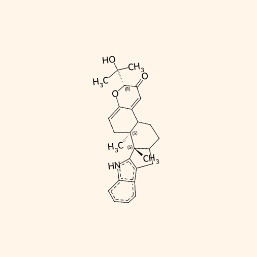 CC(C)(O)[C@H]1OC2=CC[C@@]3(C)C(CCC4Cc5c([nH]c6ccccc56)[C@@]43C)C2=CC1=O